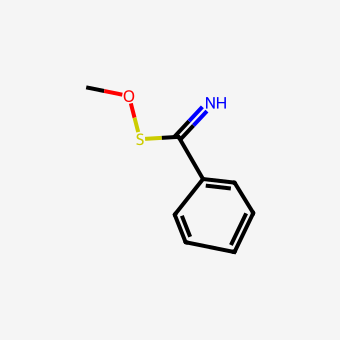 COSC(=N)c1ccccc1